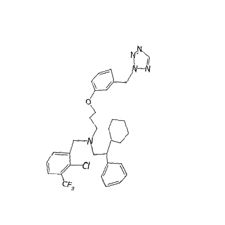 FC(F)(F)c1cccc(CN(CCCOc2cccc(Cn3ncnn3)c2)CC(c2ccccc2)C2CCCCC2)c1Cl